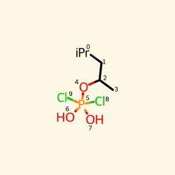 CC(C)CC(C)OP(O)(O)(Cl)Cl